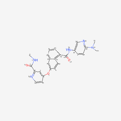 CNC(=O)c1cc(Oc2ccc3c(C(=O)Nc4ccc(N(C)C)nc4)cccc3c2)ccn1